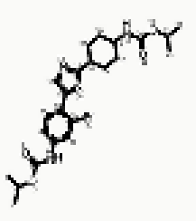 CC(C)OC(=O)Nc1ccc(-c2cnc(C3CCC(NC(=O)OC(C)C)CC3)s2)c(Br)c1